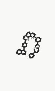 c1ccc(-c2ccc3nc(-c4cccc(-c5ccc6ccc7ccc(-c8ccc(-c9cccc%10ccccc9%10)cc8)nc7c6n5)c4)cn3c2)cc1